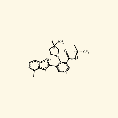 Cc1cccc2[nH]c(-c3cncc(C(=O)N[C@H](C)C(F)(F)F)c3N3CC[C@](C)(N)C3)nc12